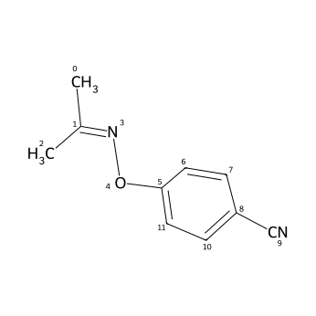 CC(C)=NOc1ccc(C#N)cc1